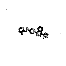 Cc1cncnc1CN(C)C1CCN(c2nnc(-c3ccnn3C)c3ccccc23)CC1